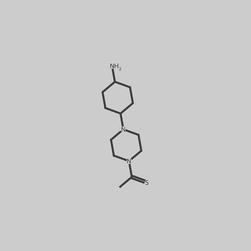 CC(=S)N1CCN(C2CCC(N)CC2)CC1